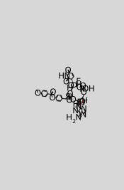 COc1ccc(C(=O)Oc2ccc(CS[P@]3(=O)OC[C@H]4O[C@@H](C5C=CC(=O)NC5=O)[C@H](F)[C@@H]4OP(=O)(O)OC[C@H]4O[C@@H](n5cnc6c(N)ncnc65)[C@H](O3)[C@@H]4F)cc2)cc1